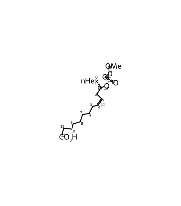 CCCCCC[C@H](C/C=C\CCCCCCCC(=O)O)OS(=O)(=O)OOC